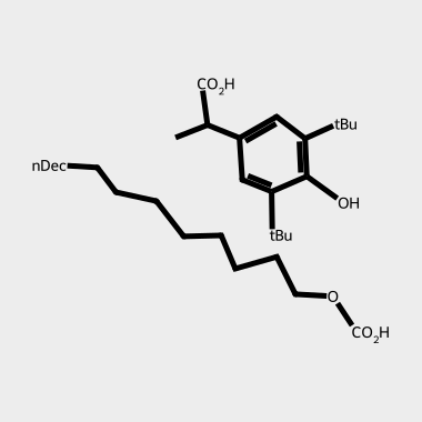 CC(C(=O)O)c1cc(C(C)(C)C)c(O)c(C(C)(C)C)c1.CCCCCCCCCCCCCCCCCCOC(=O)O